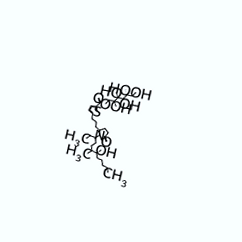 CCCCC[C@H](O)C(C)CCC(CC)N1C(=O)CC[C@@H]1CCCc1ccc(C(=O)OC[C@H](O)[C@@H](O)[C@@H](O)[C@H](O)CO)s1